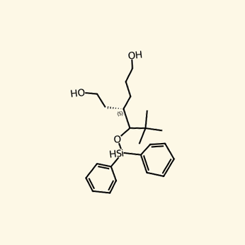 CC(C)(C)C(O[SiH](c1ccccc1)c1ccccc1)[C@H](CCO)CCCO